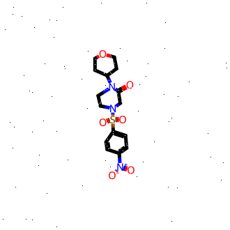 O=C1CN(S(=O)(=O)c2ccc([N+](=O)[O-])cc2)CCN1C1CCOCC1